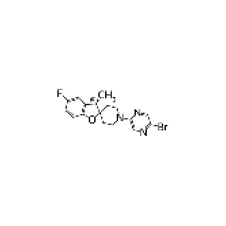 C[C@@H]1c2cc(F)ccc2OC12CCN(c1cnc(Br)cn1)CC2